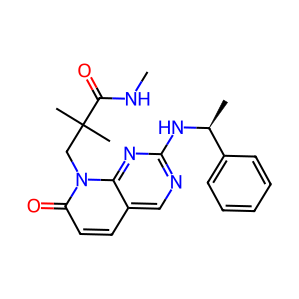 CNC(=O)C(C)(C)Cn1c(=O)ccc2cnc(N[C@@H](C)c3ccccc3)nc21